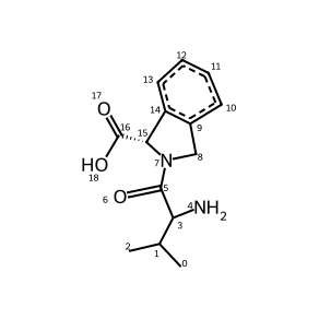 CC(C)C(N)C(=O)N1Cc2ccccc2[C@H]1C(=O)O